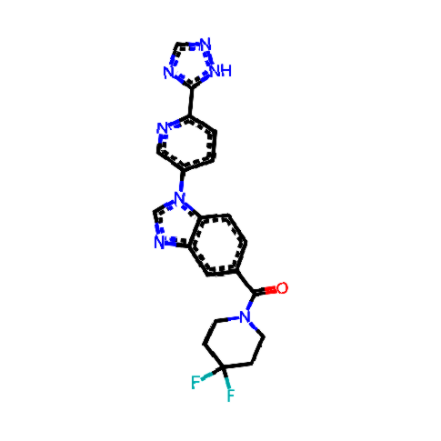 O=C(c1ccc2c(c1)ncn2-c1ccc(-c2ncn[nH]2)nc1)N1CCC(F)(F)CC1